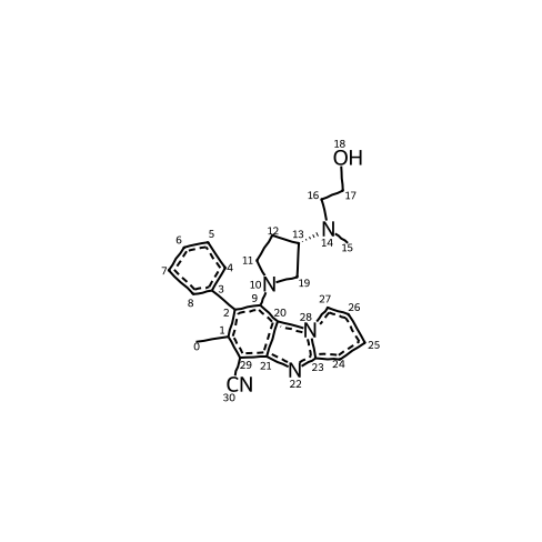 Cc1c(-c2ccccc2)c(N2CC[C@H](N(C)CCO)C2)c2c(nc3ccccn32)c1C#N